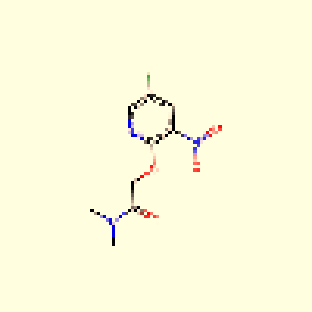 CN(C)C(=O)COc1ncc(Cl)cc1[N+](=O)[O-]